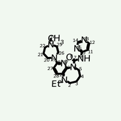 CCN1CCCCN(C(=O)Nc2ccncn2)c2nc(N3CCCN(C)CC3)ccc21